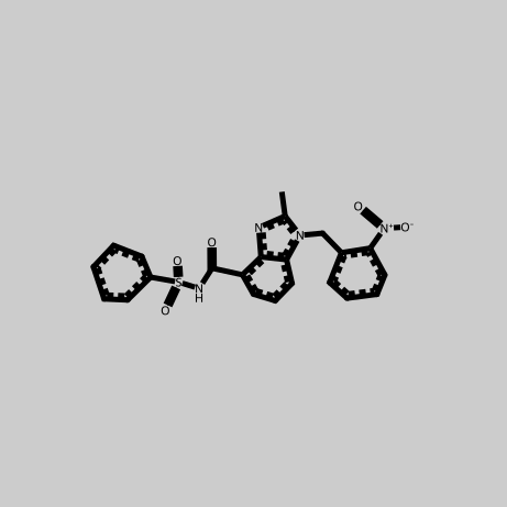 Cc1nc2c(C(=O)NS(=O)(=O)c3ccccc3)cccc2n1Cc1ccccc1[N+](=O)[O-]